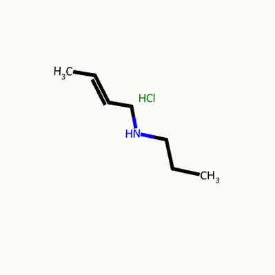 C/C=C/CNCCC.Cl